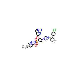 Cc1nc(C(=O)NS(=O)(=O)c2ccc(N3CCN(CC4=C(c5ccc(Cl)cc5)CC(C)(C)CC4)CC3)cc2Oc2cnc3[nH]ccc3c2)ccc1[N+](=O)[O-]